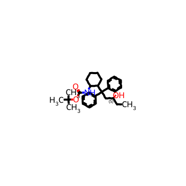 CC[C@H](O)CC(c1ccccc1)(c1ccccc1)C1CCCCC1NC(=O)OC(C)(C)C